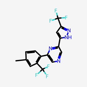 Cc1ccc(-c2cncc(-c3cc(C(F)(F)F)n[nH]3)n2)c(C(F)(F)F)c1